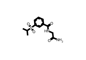 CC(C)S(=O)(=O)c1cccc(C(=O)NCC(N)=O)c1